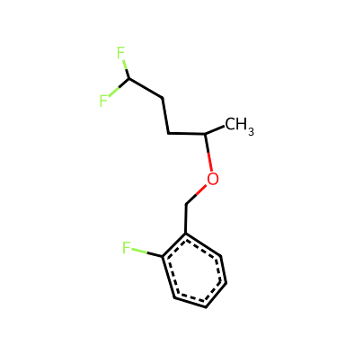 CC(CCC(F)F)OCc1ccccc1F